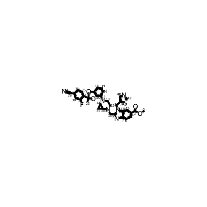 COC(=O)c1ccc2nc(CN3CCN(c4cccc5c4OC(C)(c4ccc(C#N)cc4F)O5)C4CC43)n(Cc3cncs3)c2c1